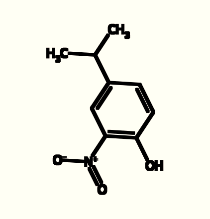 CC(C)c1ccc(O)c([N+](=O)[O-])c1